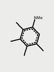 CNc1cc(C)c(C)c(C)c1C